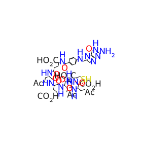 CC(=O)CC[C@@H](NC(=O)CC[C@@H](NC(=O)c1ccc(NCc2cnc3nc(N)[nH]c(=O)c3n2)cc1)C(=O)O)C(=O)N[C@H](CCC(=O)O)C(=O)N[C@H](CCC(C)=O)C(=O)N[C@H](CCC(=O)O)C(=O)N[C@H](CCC(C)=O)C(=O)N[C@H](CS)C(=O)O